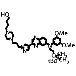 COc1cc(OC)cc(N(CCO[Si](C)(C)C(C)(C)C)c2ccc3ncc(-c4cnn(CCCN5CCN(CCCCO)CC5)c4)nc3c2)c1